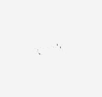 C=C(C)C(=O)OCCOCCC1CCC[N+]1=O